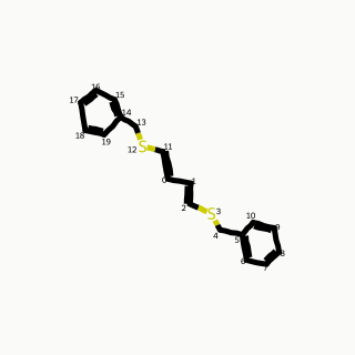 C(/C=C/SCc1ccccc1)=C\SCc1ccccc1